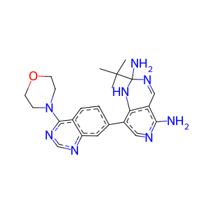 CC(C)(C)C1(N)N=Cc2c(N)ncc(-c3ccc4c(N5CCOCC5)ncnc4c3)c2N1